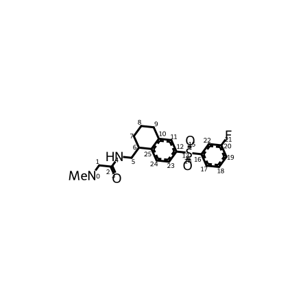 CNCC(=O)NCC1CCCc2cc(S(=O)(=O)c3cccc(F)c3)ccc21